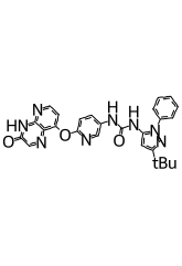 CC(C)(C)c1cc(NC(=O)Nc2ccc(Oc3ccnc4[nH]c(=O)cnc34)nc2)n(-c2ccccc2)n1